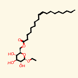 CCCCCCCC/C=C\CCCCCCCC(=O)OC[C@H]1O[C@H](OCC)[C@H](O)[C@@H](O)[C@@H]1O